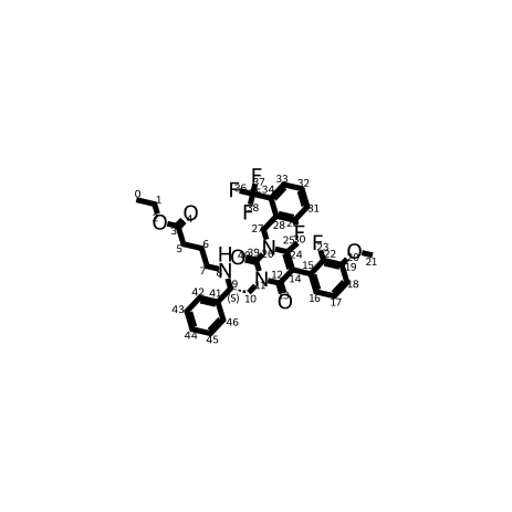 CCOC(=O)CCCN[C@H](Cn1c(=O)c(-c2cccc(OC)c2F)c(C)n(Cc2c(F)cccc2C(F)(F)F)c1=O)c1ccccc1